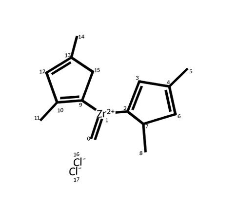 [CH2]=[Zr+2]([C]1=CC(C)=CC1C)[C]1=C(C)C=C(C)C1.[Cl-].[Cl-]